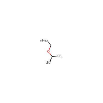 CCCCCCCO[C@H](C(C)(C)C)C(F)(F)F